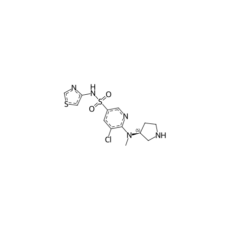 CN(c1ncc(S(=O)(=O)Nc2cscn2)cc1Cl)[C@H]1CCNC1